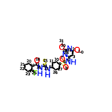 COc1cc(NS(=O)(=O)c2ccc(NC(=S)NC(=O)c3ccccc3F)cc2)nc(OC)n1